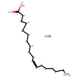 CCCCCC/C=C\CCCCCCCCCC(=O)O.[LiH]